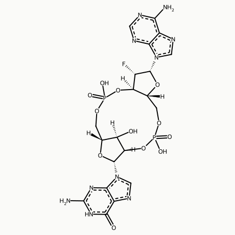 Nc1nc2c(ncn2[C@@H]2O[C@@H]3COP(=O)(O)O[C@H]4[C@H](F)[C@H](n5cnc6c(N)ncnc65)O[C@@H]4COP(=O)(O)O[C@@H]2[C@@H]3O)c(=O)[nH]1